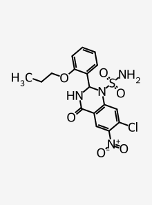 CCCOc1ccccc1C1NC(=O)c2cc([N+](=O)[O-])c(Cl)cc2N1S(N)(=O)=O